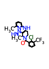 Cc1cccc(NC2=C(N=N)[C@H](C)N(C(=O)c3cccc(C(F)(F)F)c3Cl)CC2)n1